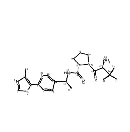 Cc1ncsc1-c1ccc([C@H](C)NC(=O)[C@@H]2CCCN2C(=O)[C@@H](N)C(C)(C)C)cn1